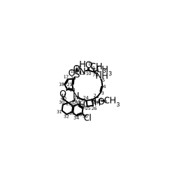 CO[C@@H]1C=CCNC(C)(C)C(=O)NS(=O)(=O)c2ccc3c(c2)N(C[C@@H]2CC[C@H]21)C[C@@]1(CCCc2cc(Cl)ccc21)CO3